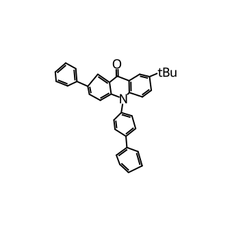 CC(C)(C)c1ccc2c(c1)c(=O)c1cc(-c3ccccc3)ccc1n2-c1ccc(-c2ccccc2)cc1